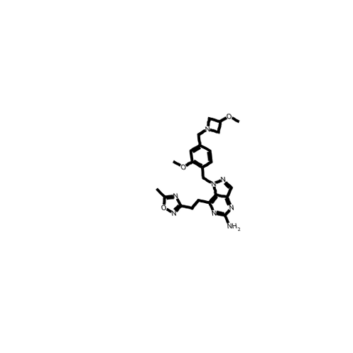 COc1cc(CN2CC(OC)C2)ccc1Cn1ncc2nc(N)nc(CCc3noc(C)n3)c21